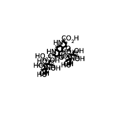 O=C(O)c1cc(=O)c2cc3c(=O)cc(C(=O)O)[nH]c3cc2[nH]1.OCC(CO)(CO)NC(CO)(CO)CO.OCC(CO)(CO)NC(CO)(CO)CO